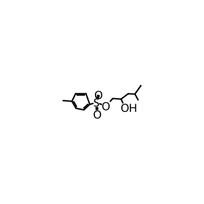 Cc1ccc(S(=O)(=O)OCC(O)CC(C)C)cc1